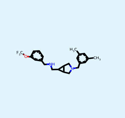 Cc1cc(C)cc(CN2CC3C(CNCc4cccc(OC(F)(F)F)c4)C3C2)c1